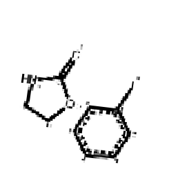 Ic1ccccc1.O=C1NCCO1